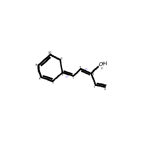 C=C/C(O)=C\C=C1\C=CC=CC1